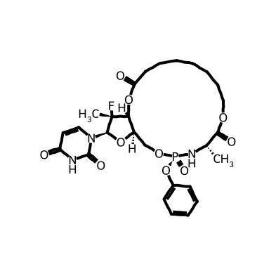 C[C@@H]1N[P@@](=O)(Oc2ccccc2)OC[C@H]2O[C@@H](n3ccc(=O)[nH]c3=O)[C@](C)(F)[C@@H]2OC(=O)CCCCCCCOC1=O